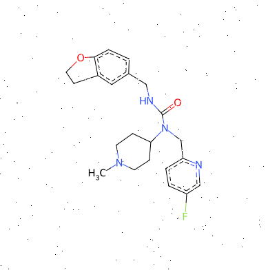 CN1CCC(N(Cc2ccc(F)cn2)C(=O)NCc2ccc3c(c2)CCO3)CC1